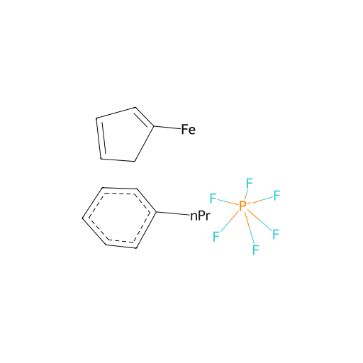 CCCc1ccccc1.F[P-](F)(F)(F)(F)F.[Fe][C]1=CC=CC1